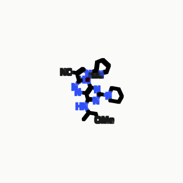 CCCCNc1nc(N2CCCCC2)nc(NC(C)COC)c1/N=N\c1nn(-c2ccccn2)cc1C#N